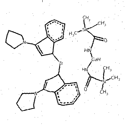 C1=C(N2CCCC2)c2ccccc2[CH]1[Zr][CH]1C=C(N2CCCC2)c2ccccc21.C[Si](C)(C)C(=O)[NH][GaH][NH]C(=O)[Si](C)(C)C